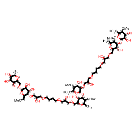 CC[C@H]1OC(CO[C@H]2OC(COC)[C@@H](OCC(O)COCCCCOCC(O)COCC3OC(C)C(NC(C)=O)[C@@H](O[C@@H]4OC(C(=O)O)[C@@H](OC)[C@H](O)C4OCC(O)COCCCCOCC(O)COCC4OC(C)C(NC(C)=O)[C@@H](O[C@@H]5OC(C(=O)O)[C@@H](OC)[C@H](O)C5O)[C@@H]4O)[C@@H]3O)[C@H](O)C2O)[C@@H](O)[C@H](O)C1O